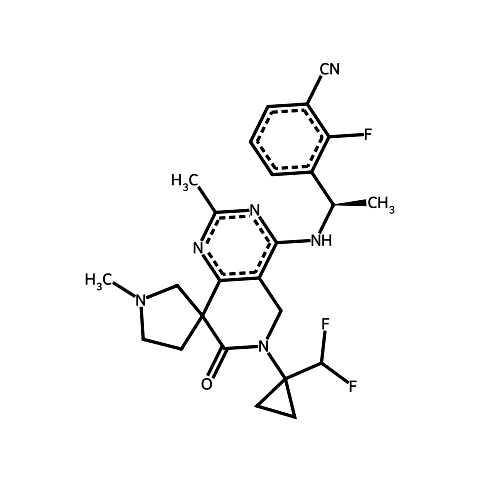 Cc1nc(N[C@H](C)c2cccc(C#N)c2F)c2c(n1)C1(CCN(C)C1)C(=O)N(C1(C(F)F)CC1)C2